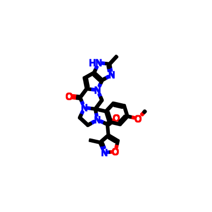 COc1ccc(C23Cn4c(cc5[nH]c(C)nc54)C(=O)N2CCN3C(=O)c2conc2C)cc1